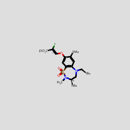 CCCC[C@@H]1CN(CC(C)(C)C)c2cc(SC)c(O/C=C(\F)C(=O)OCC)cc2S(=O)(=O)N1C